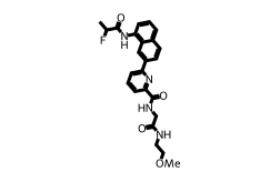 COCCNC(=O)CNC(=O)c1cccc(-c2ccc3cccc(NC(=O)C(C)F)c3c2)n1